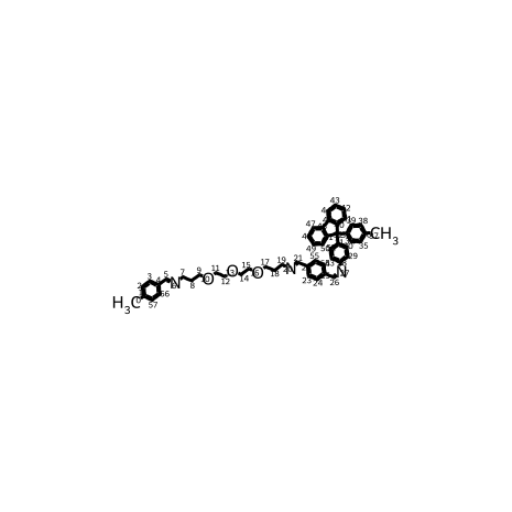 Cc1ccc(/C=N/CCCOCCOCCOCCC/N=C/c2ccc(/C=N\c3ccc(C4(c5ccc(C)cc5)c5ccccc5-c5ccccc54)cc3)cc2)cc1